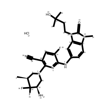 C[C@H]1CN(c2nc(Nc3ccc4c(c3)n(CCC(C)(C)O)c(=O)n4C)c(F)cc2C#N)C[C@@H](N)C1(F)F.Cl